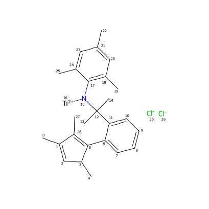 CC1=CC(C)C(c2ccccc2C(C)(C)[N]([Ti+2])c2c(C)cc(C)cc2C)=C1C.[Cl-].[Cl-]